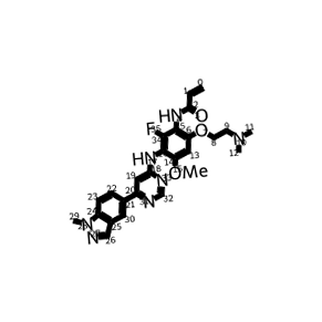 C=CC(=O)Nc1c(OCCN(C)C)cc(OC)c(Nc2cc(-c3ccc4c(cnn4C)c3)ncn2)c1F